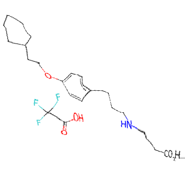 O=C(O)C(F)(F)F.O=C(O)CCNCCCc1ccc(OCCC2CCCCC2)cc1